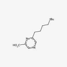 CC(C)(C)CCCCc1cncc(C(=O)O)n1